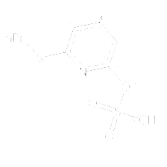 CCCSc1cccc(OS(C)(=O)=O)n1